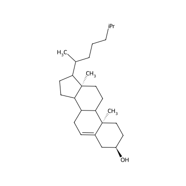 CC(C)CCCC(C)C1CCC2C3CC=C4C[C@H](O)CC[C@]4(C)C3CC[C@]12C